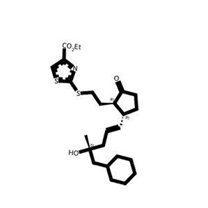 CCOC(=O)c1csc(SCC[C@H]2C(=O)CC[C@@H]2C=CC[C@@](C)(O)CC2CCCCC2)n1